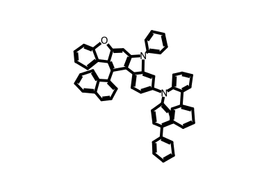 c1ccc(-c2ccc(N(c3ccc4c5c(-c6cccc7ccccc67)c6c(cc5n(-c5ccccc5)c4c3)oc3ccccc36)c3ccccc3-c3ccccc3)cc2)cc1